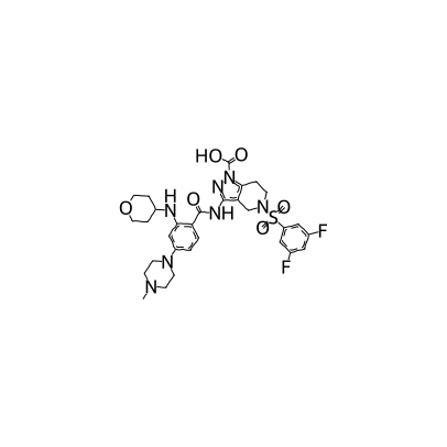 CN1CCN(c2ccc(C(=O)Nc3nn(C(=O)O)c4c3CN(S(=O)(=O)c3cc(F)cc(F)c3)CC4)c(NC3CCOCC3)c2)CC1